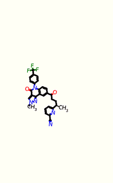 C[C@H](CCC(=O)c1ccc2c(c1)c1nn(C)cc1c(=O)n2-c1ccc(C(F)(F)F)cc1)c1cccc(C#N)n1